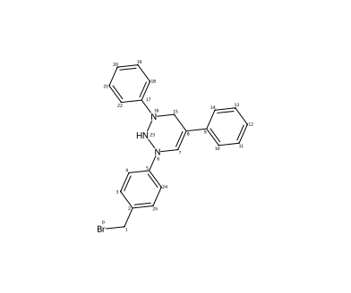 BrCc1ccc(N2C=C(c3ccccc3)CN(c3ccccc3)N2)cc1